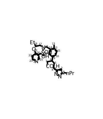 CCCn1cc(CCC(CC(=O)O)c2ccc(C)c(CN3CC(CC)Oc4ccncc4S3(O)O)c2)nn1